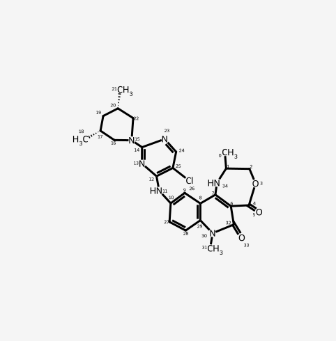 CC1COC(=O)c2c(c3cc(Nc4nc(N5C[C@H](C)C[C@H](C)C5)ncc4Cl)ccc3n(C)c2=O)N1